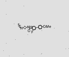 COc1ccc(-c2ccc(C(=O)NC3CC(N=C=S)C3)c(F)c2)cc1